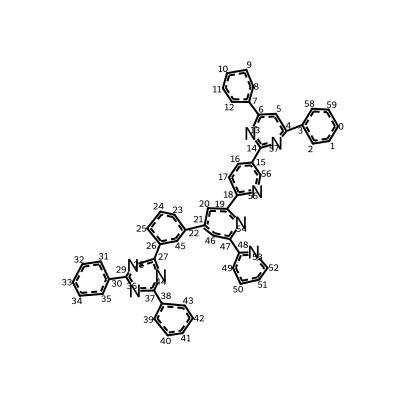 c1ccc(-c2cc(-c3ccccc3)nc(-c3ccc(-c4cc(-c5cccc(-c6nc(-c7ccccc7)nc(-c7ccccc7)n6)c5)cc(-c5ccccn5)n4)nc3)n2)cc1